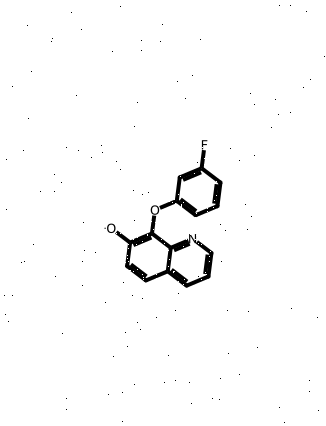 [O]c1ccc2cccnc2c1Oc1cccc(F)c1